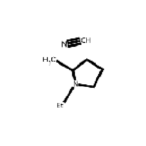 C#N.CCN1CCCC1C